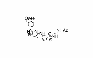 COCc1cccc(-n2nnc3cnc(Nc4cccc(S(=O)(=O)NCCNC(C)=O)c4)nc32)c1